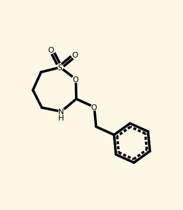 O=S1(=O)CCCNC(OCc2ccccc2)O1